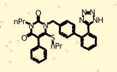 CCCSc1c(-c2ccccc2)c(=O)n(CCC)c(=O)n1Cc1ccc(-c2ccccc2-c2nnn[nH]2)cc1